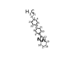 CCCc1ccc(-c2ccc(-c3cn4c(n3)CCCC4)cc2)cc1